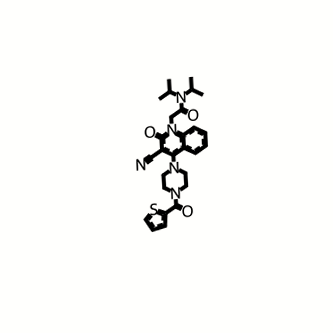 CC(C)N(C(=O)Cn1c(=O)c(C#N)c(N2CCN(C(=O)c3cccs3)CC2)c2ccccc21)C(C)C